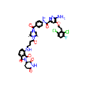 C[C@@H]1CN(C(=O)c2ccc(NC(=O)c3cc(OCCc4c(Cl)ccc(F)c4Cl)c(N)nn3)cc2)C[C@H](C)N1C(=O)CCCNc1cccc2c1C(=O)N([C@@H]1CCC(=O)NC1=O)C2=O